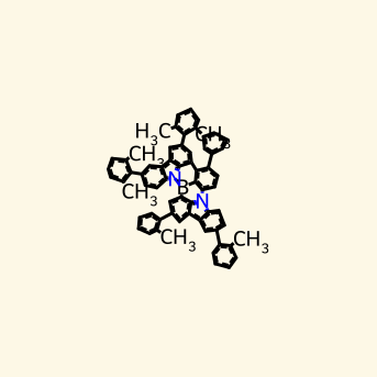 Cc1ccccc1-c1ccc2c(c1)c1cc(-c3ccccc3C)cc3c1n2-c1ccc(-c2ccccc2)c2c1B3n1c3ccc(-c4c(C)cccc4C)cc3c3cc(-c4c(C)cccc4C)cc-2c31